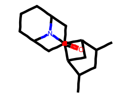 CC1CC(C)C2CC1C2N1C2CCCC1CC(=O)C2